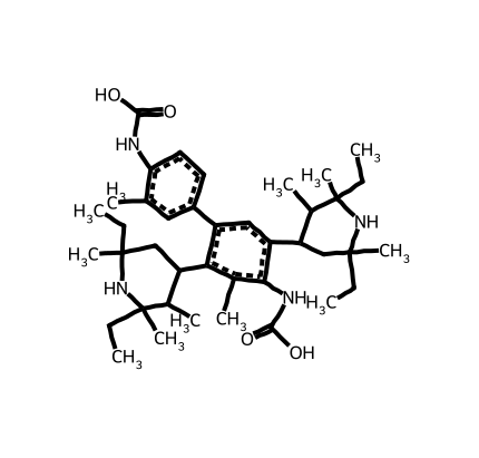 CCC1(C)CC(c2cc(-c3ccc(NC(=O)O)c(C)c3)c(C3CC(C)(CC)NC(C)(CC)C3C)c(C)c2NC(=O)O)C(C)C(C)(CC)N1